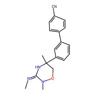 C/N=C1/NC(C)(c2cccc(-c3ccc(C#N)cc3)c2)CON1C